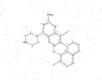 CCc1c(F)ccc2cccc(-c3ncc4c(N5CCNCC5)nc(OC)nc4c3F)c12